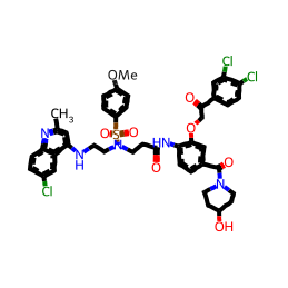 COc1ccc(S(=O)(=O)N(CCNc2cc(C)nc3ccc(Cl)cc23)CCC(=O)Nc2ccc(C(=O)N3CCC(O)CC3)cc2OCC(=O)c2ccc(Cl)c(Cl)c2)cc1